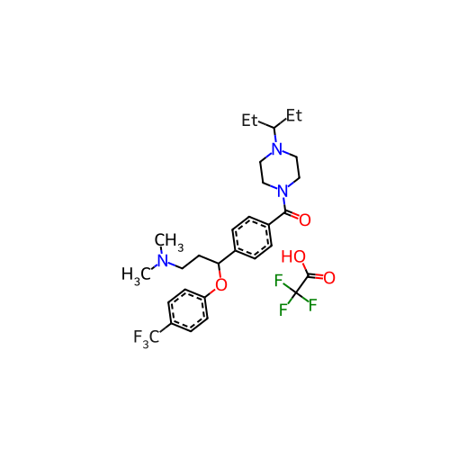 CCC(CC)N1CCN(C(=O)c2ccc(C(CCN(C)C)Oc3ccc(C(F)(F)F)cc3)cc2)CC1.O=C(O)C(F)(F)F